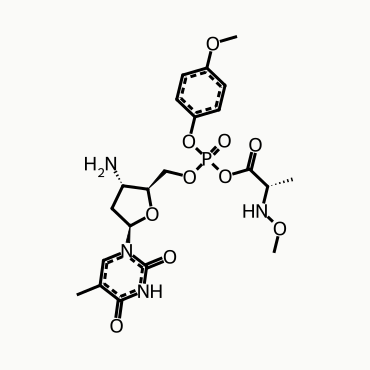 CON[C@@H](C)C(=O)OP(=O)(OC[C@H]1O[C@@H](n2cc(C)c(=O)[nH]c2=O)C[C@@H]1N)Oc1ccc(OC)cc1